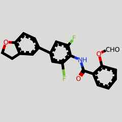 O=COc1ccccc1C(=O)Nc1c(F)cc(-c2ccc3c(c2)CCO3)cc1F